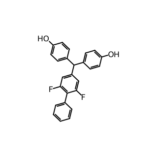 Oc1ccc(C(c2ccc(O)cc2)c2cc(F)c(-c3ccccc3)c(F)c2)cc1